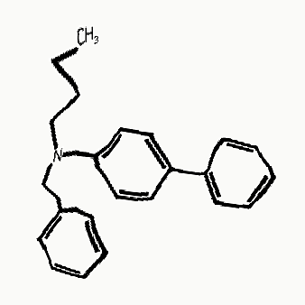 CCCCN(Cc1ccccc1)c1ccc(-c2ccccc2)cc1